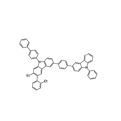 CCc1ccccc1-c1cc2c3cc(-c4ccc(-c5ccc6c(c5)c5ccccc5n6-c5ccccc5)cc4)ccc3n(-c3ccc(-c4ccccc4)cc3)c2cc1CC